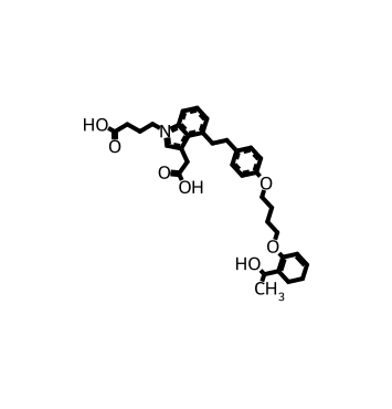 CC(O)C1=C(OCCCCOc2ccc(CCc3cccc4c3c(CC(=O)O)cn4CCCC(=O)O)cc2)C=CCC1